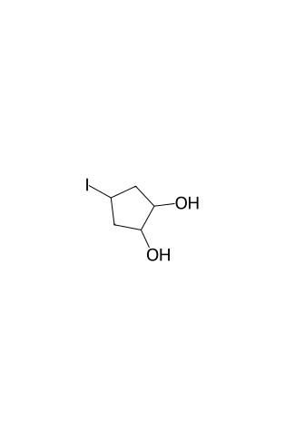 OC1CC(I)CC1O